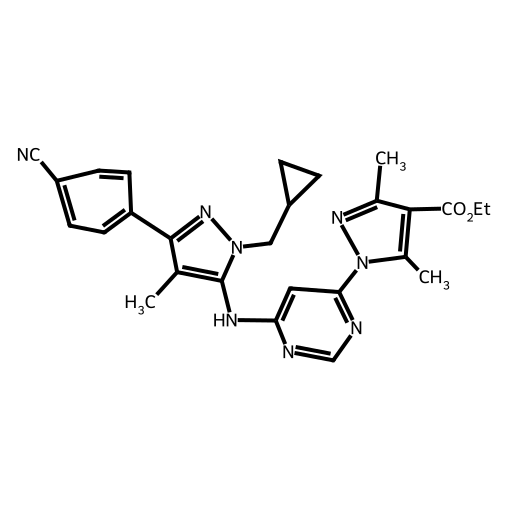 CCOC(=O)c1c(C)nn(-c2cc(Nc3c(C)c(-c4ccc(C#N)cc4)nn3CC3CC3)ncn2)c1C